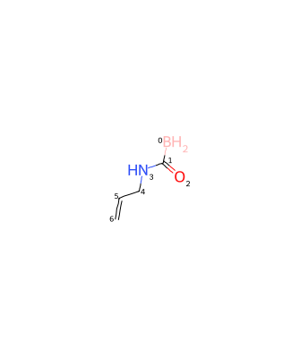 BC(=O)NCC=C